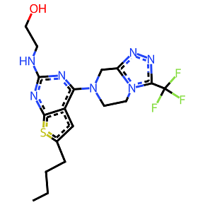 CCCCc1cc2c(N3CCn4c(nnc4C(F)(F)F)C3)nc(NCCO)nc2s1